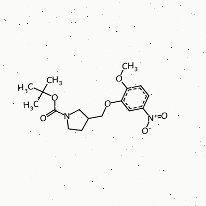 COc1ccc([N+](=O)[O-])cc1OCC1CCN(C(=O)OC(C)(C)C)C1